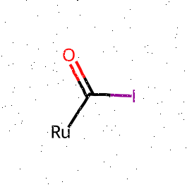 O=[C]([Ru])I